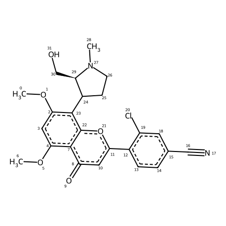 COc1cc(OC)c2c(=O)cc(-c3ccc(C#N)cc3Cl)oc2c1C1CCN(C)[C@@H]1CO